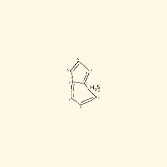 C1=CC2=CC=CC2=C1.S